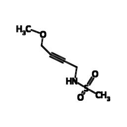 COCC#CCNS(C)(=O)=O